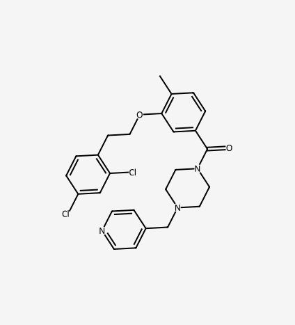 Cc1ccc(C(=O)N2CCN(Cc3ccncc3)CC2)cc1OCCc1ccc(Cl)cc1Cl